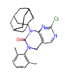 Cc1cccc(C)c1N1Cc2cnc(Cl)nc2N(C23CC4CC(CC(C4)C2)C3)C1=O